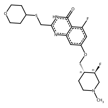 CN1CC[C@H](COc2cc(F)c3c(=O)[nH]c(CSC4CCOCC4)nc3c2)[C@@H](F)C1